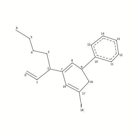 C=CC(CCCC)C1=CC(c2ccccc2)CC(I)=C1